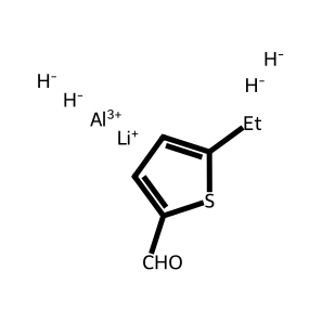 CCc1ccc(C=O)s1.[Al+3].[H-].[H-].[H-].[H-].[Li+]